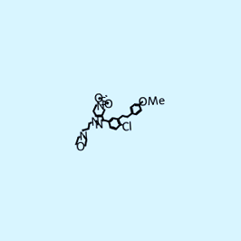 COc1ccc(CCc2cc(-c3nn(CCCN4CCOCC4)c4c3CN(S(C)(=O)=O)CC4)ccc2Cl)cc1